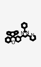 C1=C(c2cc(-c3ccccn3)nc(-c3ccccc3)n2)CCC2=C1C1(c3ccccc3O2)c2ccccc2-c2ccccc21